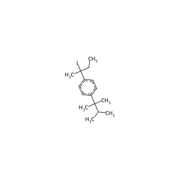 CCC(C)(I)c1ccc(C(C)(C)C(C)C)cc1